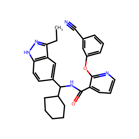 CCc1n[nH]c2ccc(C(NC(=O)c3cccnc3Oc3cccc(C#N)c3)C3CCCCC3)cc12